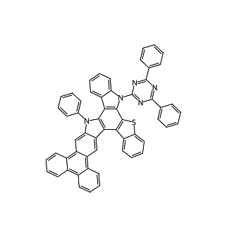 c1ccc(-c2nc(-c3ccccc3)nc(-n3c4ccccc4c4c3c3sc5ccccc5c3c3c5cc6c7ccccc7c7ccccc7c6cc5n(-c5ccccc5)c34)n2)cc1